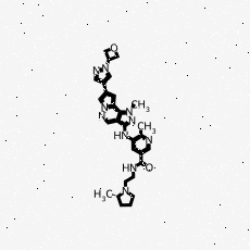 Cc1ncc(C(=O)NCCN2CCC[C@@H]2C)cc1Nc1nn(C)c2c1cnn1cc(-c3cnn(C4COC4)c3)cc21